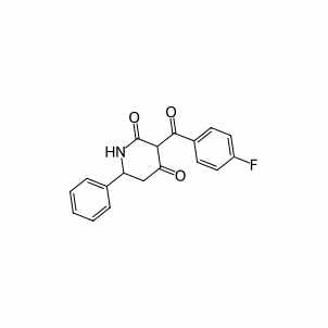 O=C1CC(c2ccccc2)NC(=O)C1C(=O)c1ccc(F)cc1